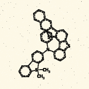 C[Si]1(C)c2ccccc2-c2ccc(N(c3ccccc3)c3cccc4sc5ccc6c7cc8ccccc8cc7sc6c5c34)cc21